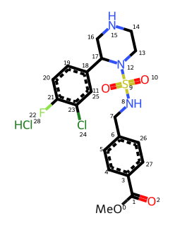 COC(=O)c1ccc(CNS(=O)(=O)N2CCNCC2c2ccc(F)c(Cl)c2)cc1.Cl